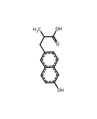 CC(Cc1ccc2cc(O)ccc2c1)C(=O)O